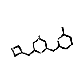 C[C@H]1CCCC(CC2CNCC(CC3COC3)O2)O1